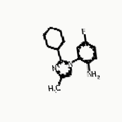 Cc1cn(-c2cc(F)ccc2N)c(C2CCCCC2)n1